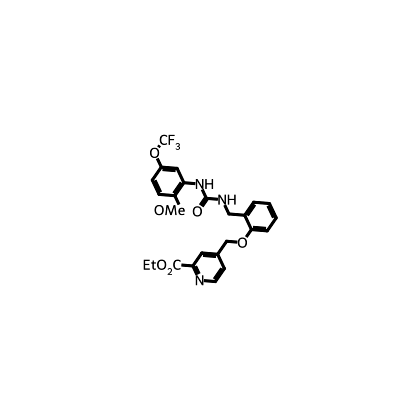 CCOC(=O)c1cc(COc2ccccc2CNC(=O)Nc2cc(OC(F)(F)F)ccc2OC)ccn1